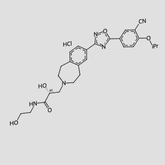 CC(C)Oc1ccc(-c2nc(-c3ccc4c(c3)CCN(C[C@@H](O)C(=O)NCCO)CC4)no2)cc1C#N.Cl